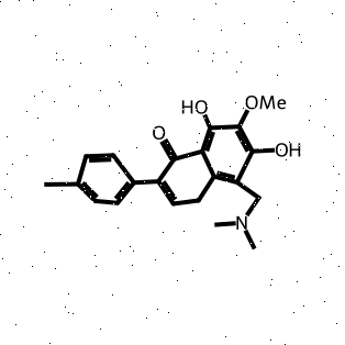 COc1c(O)c(CN(C)C)c2c(c1O)C(=O)C(c1ccc(C)cc1)=CC2